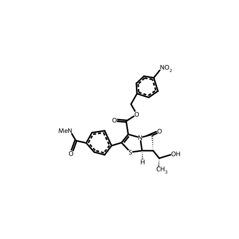 CNC(=O)c1ccc(C2=C(C(=O)OCc3ccc([N+](=O)[O-])cc3)N3C(=O)[C@H]([C@@H](C)O)[C@H]3S2)cc1